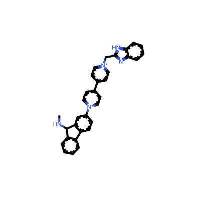 CNC1c2ccccc2-c2ccc(-[n+]3ccc(-c4cc[n+](Cc5nc6ccccc6[nH]5)cc4)cc3)cc21